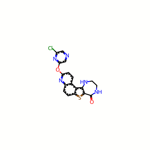 O=C1NCCNc2c1sc1ccc3nc(Oc4cncc(Cl)n4)ccc3c21